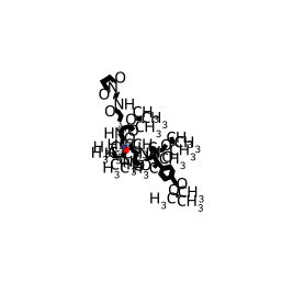 C/C(=C\[C@H](C(C)C)N(C)C(=O)[C@@H](NC(=O)[C@@H](N(C)C(=O)OC(C)(C)C)C(C)(C)c1ccc(C(=O)OC(C)(C)C)cc1)C(C)(C)C)C(=O)N[C@H](CCC(=O)NCCN1C(=O)C=CC1=O)C(=O)OC(C)(C)C